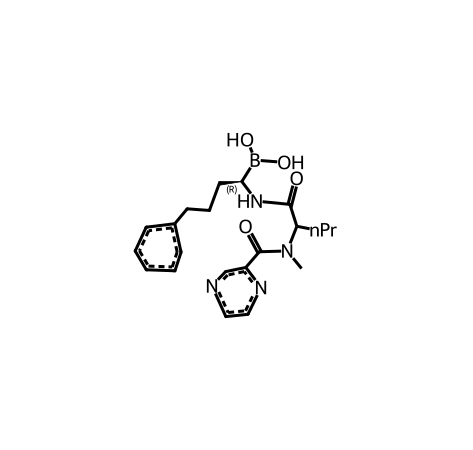 CCCC(C(=O)N[C@@H](CCCc1ccccc1)B(O)O)N(C)C(=O)c1cnccn1